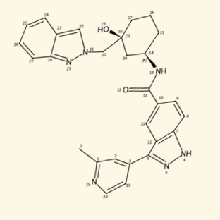 Cc1cc(-c2n[nH]c3ccc(C(=O)N[C@@H]4CCC[C@@](O)(Cn5cc6ccccc6n5)C4)cc23)ccn1